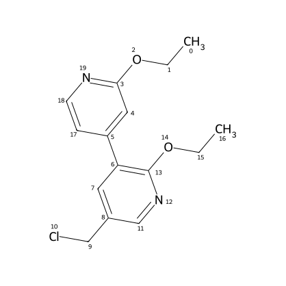 CCOc1cc(-c2cc(CCl)cnc2OCC)ccn1